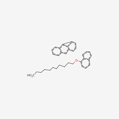 O=C(O)CCCCCCCCCCOc1cccc2ccccc12.c1ccc2c3c4c-3cccc4cc2c1